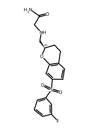 NC(=O)CNC[C@H]1CCc2ccc(S(=O)(=O)c3cccc(F)c3)cc2O1